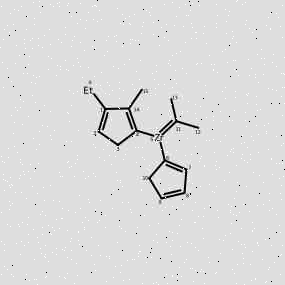 CCC1=CC[C]([Zr]([C]2=CC=CC2)=[C](C)C)=C1C